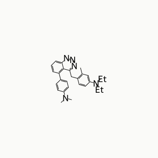 CCN(CC)c1ccc(Cc2nnnc3cccc(-c4ccc(N(C)C)cc4)c23)c(C)c1